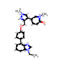 CCn1cnc2c(-c3ccc(OCc4nn(C)cc4-c4ccc(=O)n(C)c4)cc3)cccc21